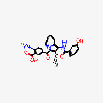 Cc1c(NC(=O)c2cccc(O)c2)c2ccccn2c1C(=O)c1ccc(N)c(C(=O)O)c1